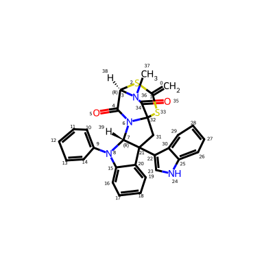 C=C1S[C@@H]2C(=O)N3[C@H]4N(c5ccccc5)c5ccccc5C4(c4c[nH]c5ccccc45)CC3(S1)C(=O)N2C